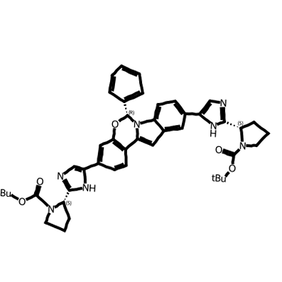 CC(C)(C)OC(=O)N1CCC[C@H]1c1ncc(-c2ccc3c(c2)O[C@H](c2ccccc2)n2c-3cc3cc(-c4cnc([C@@H]5CCCN5C(=O)OC(C)(C)C)[nH]4)ccc32)[nH]1